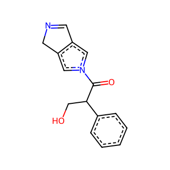 O=C(C(CO)c1ccccc1)n1cc2c(c1)CN=C2